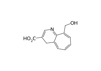 O=C(O)C1=CN=C2C(CO)=CC=CC=C2C1